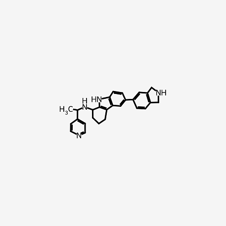 CC(NC1CCCc2c1[nH]c1ccc(-c3ccc4c(c3)CNC4)cc21)c1ccncc1